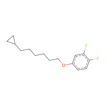 Fc1ccc(OCCCCCCC2CC2)cc1F